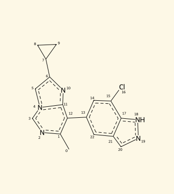 Cc1ncn2cc(C3CC3)nc2c1-c1cc(Cl)c2[nH]ncc2c1